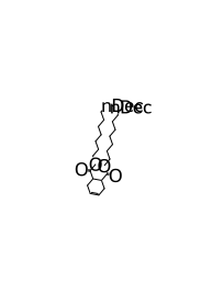 CCCCCCCCCCCCCCCCCOC(=O)C1CC=CCC1C(=O)OCCCCCCCCCCCCCCCCC